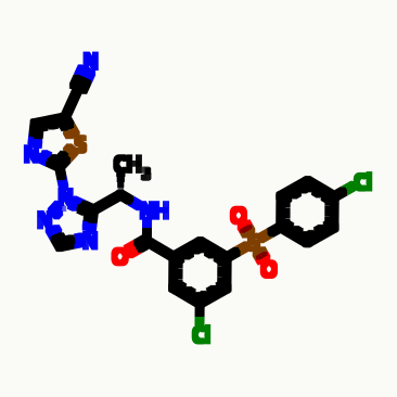 C[C@H](NC(=O)c1cc(Cl)cc(S(=O)(=O)c2ccc(Cl)cc2)c1)c1ncnn1-c1ncc(C#N)s1